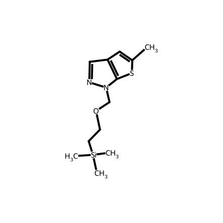 Cc1cc2cnn(COCC[Si](C)(C)C)c2s1